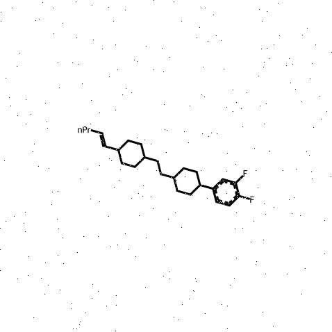 CCCC=CC1CCC(CCC2CCC(c3ccc(F)c(F)c3)CC2)CC1